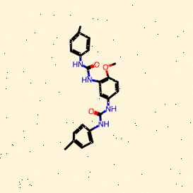 COc1ccc(NC(=O)Nc2ccc(C)cc2)cc1NC(=O)Nc1ccc(C)cc1